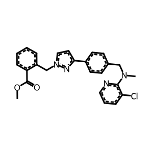 COC(=O)c1ccccc1Cn1ccc(-c2ccc(CN(C)c3ncccc3Cl)cc2)n1